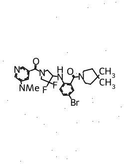 CNc1cncc(C(=O)N2CC(Nc3ccc(Br)cc3C(=O)N3CCC(C)(C)CC3)C(F)(F)C2)c1